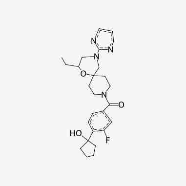 CCC1CN(c2ncccn2)CC2(CCN(C(=O)c3ccc(C4(O)CCCC4)c(F)c3)CC2)O1